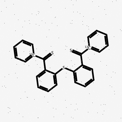 S=C(c1ccccc1Sc1ccccc1C(=S)[13c]1ccccc1)[13c]1ccccc1